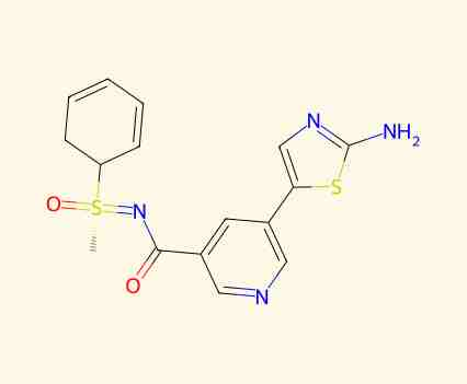 C[S@@](=O)(=NC(=O)c1cncc(-c2cnc(N)s2)c1)C1C=CC=CC1